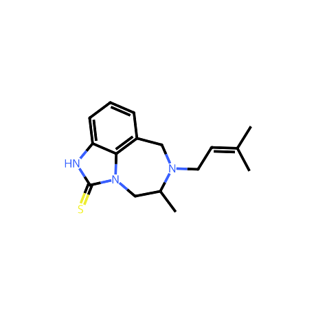 CC(C)=CCN1Cc2cccc3[nH]c(=S)n(c23)CC1C